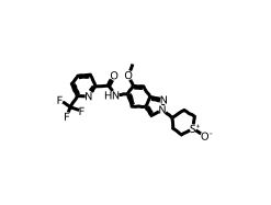 COc1cc2nn(C3CC[S+]([O-])CC3)cc2cc1NC(=O)c1cccc(C(F)(F)F)n1